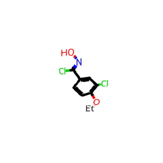 CCOc1ccc(C(Cl)=NO)cc1Cl